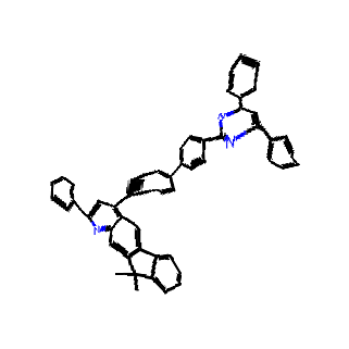 CC1(C)c2ccccc2-c2cc3c(-c4ccc(-c5ccc(-c6nc(-c7ccccc7)cc(-c7ccccc7)n6)cc5)cc4)cc(-c4ccccc4)nc3cc21